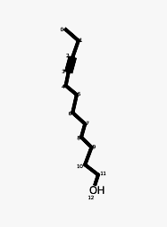 CCC#CCCCCCCCCO